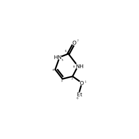 CCOC1C=CNC(=O)N1